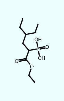 CCOC(=O)C(CC(CC)CC)P(=O)(O)O